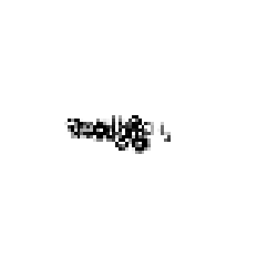 Cn1c(=O)c(O)c(C(=O)NCc2cccc(CN3CCOCC3)c2)c2ccccc21